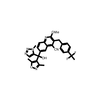 COc1nc2ccc(C(O)(c3c(C)noc3C)c3cnnn3C)cc2c(C#N)c1Cc1ccc(C(C)(F)F)cc1